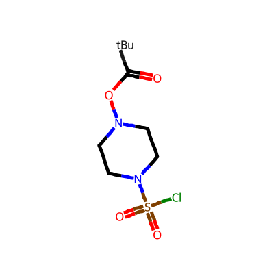 CC(C)(C)C(=O)ON1CCN(S(=O)(=O)Cl)CC1